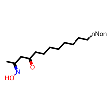 CCCCCCCCCCCCCCCCCC(=O)CC(C)=NO